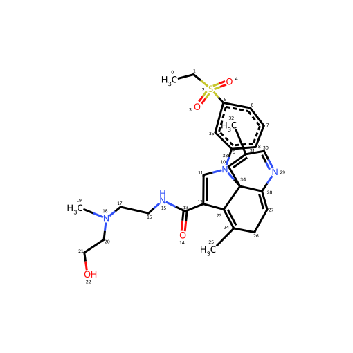 CCS(=O)(=O)c1cccc(N2C=C(C(=O)NCCN(C)CCO)C3=C(C)CC=C4N=CC(C)=CC432)c1